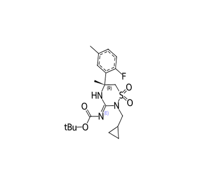 Cc1ccc(F)c([C@]2(C)CS(=O)(=O)N(CC3CC3)/C(=N/C(=O)OC(C)(C)C)N2)c1